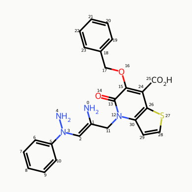 N/C(=C\N(N)c1ccccc1)Cn1c(=O)c(OCc2ccccc2)c(C(=O)O)c2sccc21